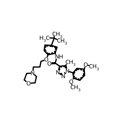 COc1ccc(OC)c(-n2nnc(C(=O)Nc3cc(C(C)(C)C)ccc3OCCCN3CCOCC3)c2C)c1